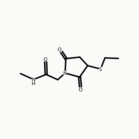 CCSC1CC(=O)N(CC(=O)NC)C1=O